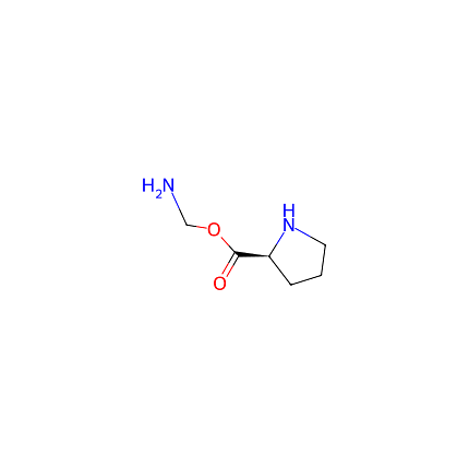 NCOC(=O)[C@@H]1CCCN1